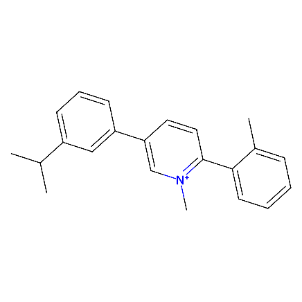 Cc1ccccc1-c1ccc(-c2cccc(C(C)C)c2)c[n+]1C